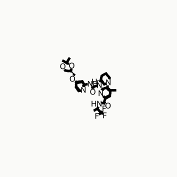 Cc1cc(C(=O)NC(C)C(F)(F)F)nc2c1N1CCC[C@@H](C1)N2C(=O)Nc1cc(OC[C@H]2COC(C)(C)O2)ccn1